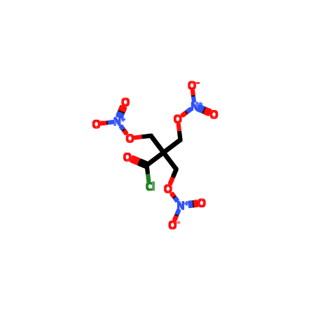 O=C(Cl)C(CO[N+](=O)[O-])(CO[N+](=O)[O-])CO[N+](=O)[O-]